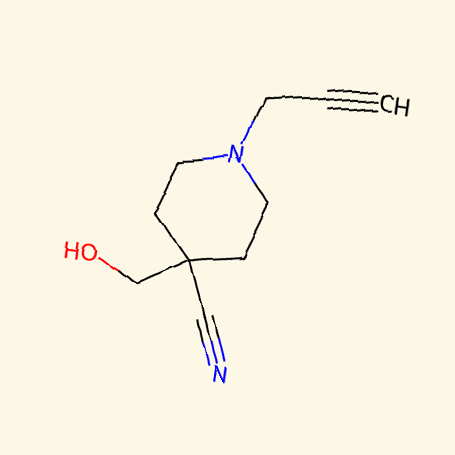 C#CCN1CCC(C#N)(CO)CC1